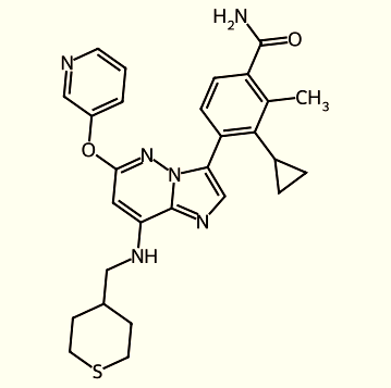 Cc1c(C(N)=O)ccc(-c2cnc3c(NCC4CCSCC4)cc(Oc4cccnc4)nn23)c1C1CC1